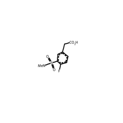 CNS(=O)(=O)c1cc(CC(=O)O)ccc1F